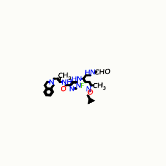 CC(CC(F)C(CCNC=O)Nc1cc(C(=O)NC[C@H](C)CN2CCc3ccccc3C2)ncn1)=NOCC1CC1